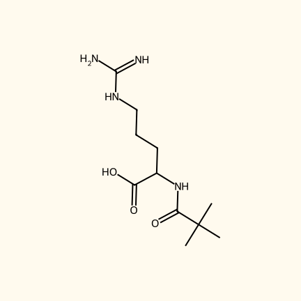 CC(C)(C)C(=O)NC(CCCNC(=N)N)C(=O)O